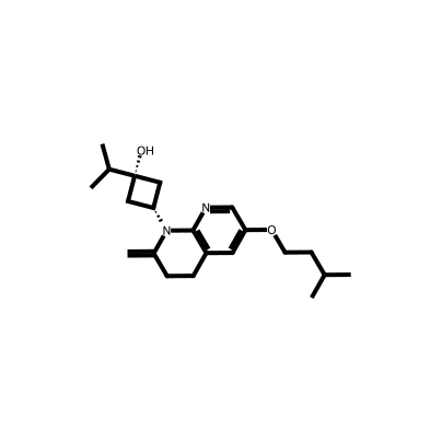 C=C1CCc2cc(OCCC(C)C)cnc2N1[C@H]1C[C@](O)(C(C)C)C1